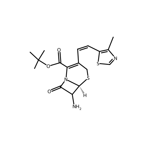 Cc1ncsc1/C=C\C1=C(C(=O)OC(C)(C)C)N2C(=O)C(N)[C@@H]2SC1